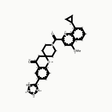 COc1cc(C(=O)N2CCC3(CC2)CC(=O)c2cc(-c4nnn[nH]4)ccc2O3)nc2c(C3CC3)cccc12